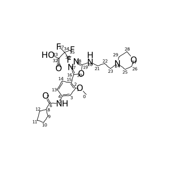 COc1cc(NC(=O)C2CCCC2)ccc1-c1nnc(NCCCN2CCOCC2)o1.O=C(O)C(F)(F)F